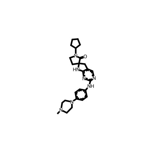 CN1CCN(c2ccc(Nc3ncc4c(n3)NC3(CCN(C5CCCC5)C3=O)C4)cc2)CC1